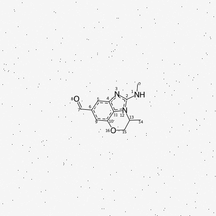 CNc1nc2cc(C=O)cc3c2n1C(C)CO3